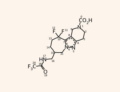 O=C(O)N1CCc2nn3c(c2C1)C(F)(F)CCC(CNC(=O)C(F)(F)F)C3